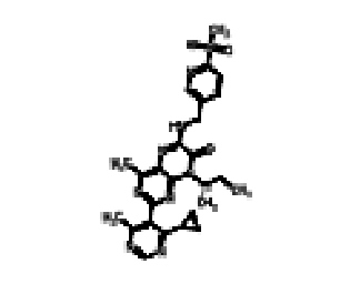 CC[C@H](C)n1c(=O)c(NCc2ccc(S(C)(=O)=O)nc2)nc2c(C)nc(-c3c(C)ncnc3C3CC3)nc21